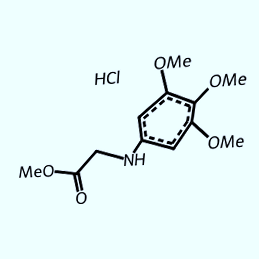 COC(=O)CNc1cc(OC)c(OC)c(OC)c1.Cl